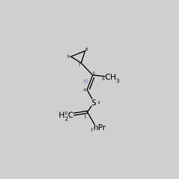 C=C(CCC)S/C=C(\C)C1CC1